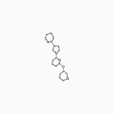 c1ccc(-c2ccn(-c3cccc(Oc4cccnc4)n3)c2)nc1